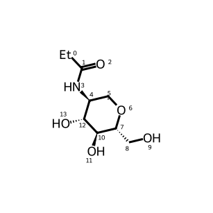 CCC(=O)N[C@H]1[CH]O[C@H](CO)[C@@H](O)[C@@H]1O